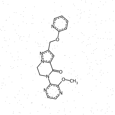 COc1nccnc1N1CCn2nc(COc3ccccn3)cc2C1=O